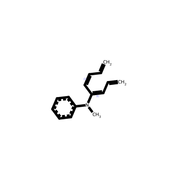 C=C/C=C\C(=C/C=C)N(C)c1ccccc1